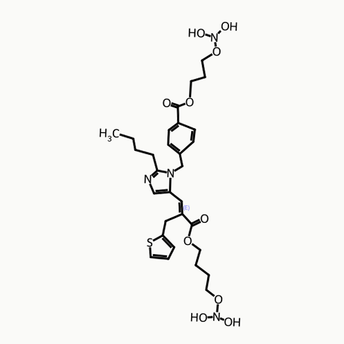 CCCCc1ncc(/C=C(\Cc2cccs2)C(=O)OCCCCON(O)O)n1Cc1ccc(C(=O)OCCCON(O)O)cc1